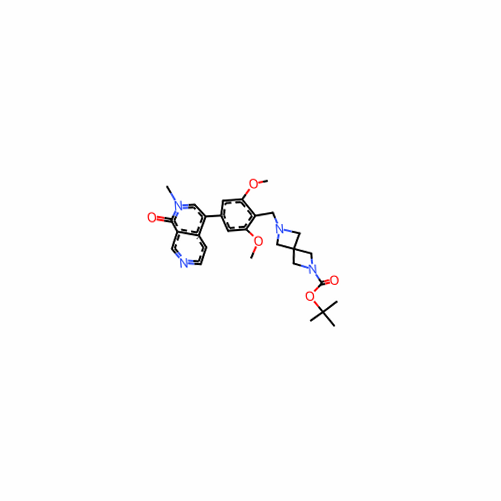 COc1cc(-c2cn(C)c(=O)c3cnccc23)cc(OC)c1CN1CC2(C1)CN(C(=O)OC(C)(C)C)C2